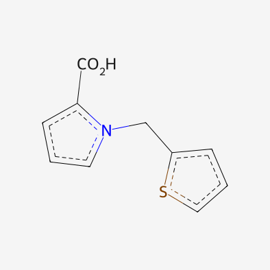 O=C(O)c1cccn1Cc1cccs1